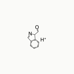 O=CC1N=Cc2ccccc21.[H+]